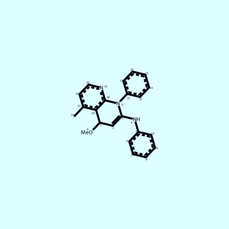 COC1C=C(Nc2ccccc2)N(c2ccccc2)c2nccc(C)c21